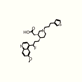 COc1ccc2nccc(C(F)CC[C@@H]3CCN(CCCc4ccsc4)C[C@@H]3CC(=O)O)c2c1